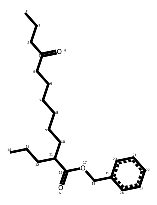 CCCC(=O)CCCCCCC(CCC)C(=O)OCc1ccccc1